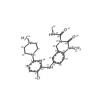 CN1CCN(c2ncc(Cl)c(Nc3ccc4c(c3)CN(C(=O)NI)C(=O)N4C)n2)CC1